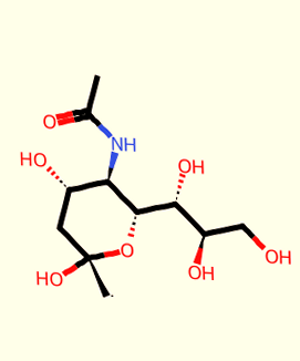 [CH2][C@@]1(O)C[C@H](O)[C@@H](NC(C)=O)[C@H]([C@H](O)[C@H](O)CO)O1